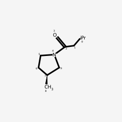 CC(C)CC(=O)N1CC[C@H](C)C1